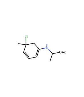 CC(=O)OC(C)NC1=CC=CC(C)(Cl)C1